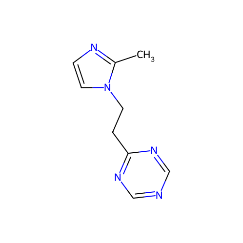 Cc1nccn1CCc1ncncn1